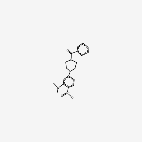 CN(C)c1cc(N2CCN(C(=O)c3ccccc3)CC2)ccc1[N+](=O)[O-]